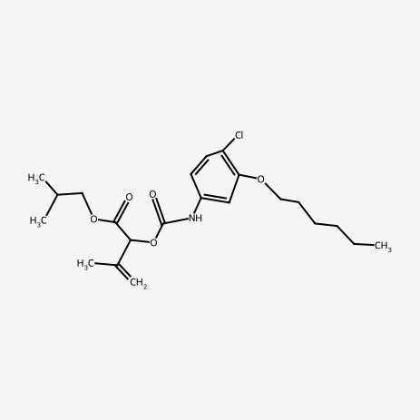 C=C(C)C(OC(=O)Nc1ccc(Cl)c(OCCCCCC)c1)C(=O)OCC(C)C